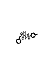 Cc1ccc(S(=O)(=O)N(C)NS(=O)(=O)Cc2ccccc2)cc1